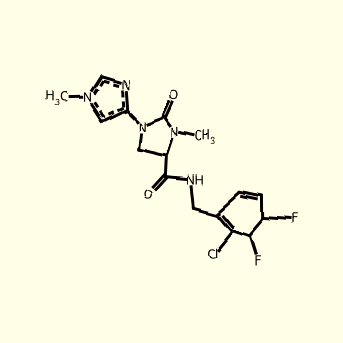 CN1C(=O)N(c2cn(C)cn2)CC1C(=O)NCC1=C(Cl)C(F)C(F)C=C1